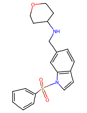 O=S(=O)(c1ccccc1)n1ccc2ccc(CNC3CCOCC3)cc21